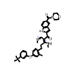 C/N=C\C(C(=O)c1cc2cc(C(=O)N3CCOCC3)ccc2[nH]1)=C(/CCc1ccc(Oc2cccc(C(C)(C)C)c2)cc1C)NC